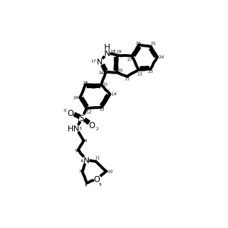 O=S(=O)(NCCN1CCOCC1)c1ccc(-c2n[nH]c3c2Cc2ccccc2-3)cc1